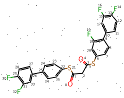 O=C(CC(=O)Sc1ccc(-c2ccc(F)c(F)c2)c(F)c1)Sc1ccc(-c2ccc(F)c(F)c2)cc1